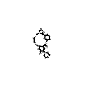 O=C1Nc2cccc(n2)-c2nncn2CC/C=C\COc2cc(F)c(N3CCOCC3)cc21